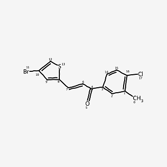 Cc1cc(C(=O)C=Cc2cc(Br)cs2)ccc1Cl